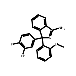 COc1ccccc1C1(c2ccc(F)c(Br)c2)N=C(N)c2ccccc21